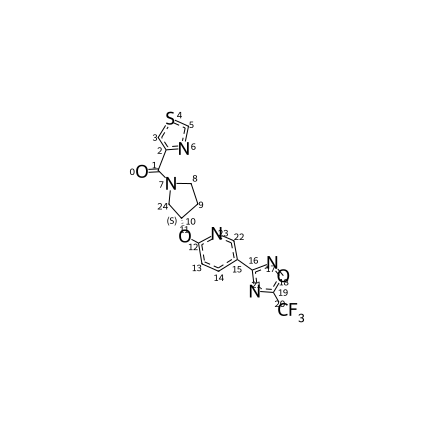 O=C(c1cscn1)N1CC[C@H](Oc2ccc(-c3noc(C(F)(F)F)n3)cn2)C1